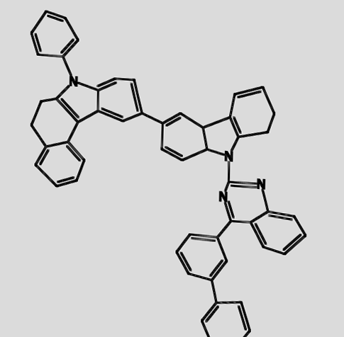 C1=CC2=C(CC1)N(c1nc(-c3cccc(-c4ccccc4)c3)c3ccccc3n1)C1C=CC(c3ccc4c(c3)c3c(n4-c4ccccc4)CCc4ccccc4-3)=CC21